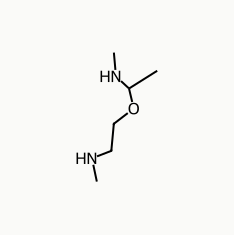 CNCCOC(C)NC